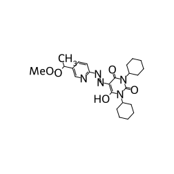 COOC(C)c1ccc(N=Nc2c(O)n(C3CCCCC3)c(=O)n(C3CCCCC3)c2=O)nc1